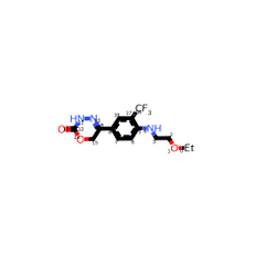 CCOCCNc1ccc(C2=NNC(=O)OC2)cc1C(F)(F)F